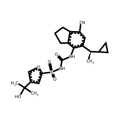 C[C@@H](c1cc(C#N)c2c(c1NC(=O)NS(=O)(=O)c1cc(C(C)(C)O)co1)CCC2)C1CC1